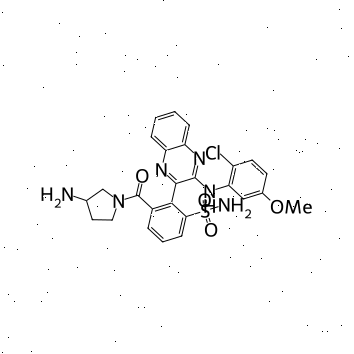 COc1ccc(Cl)c(Nc2nc3ccccc3nc2-c2c(C(=O)N3CCC(N)C3)cccc2S(N)(=O)=O)c1